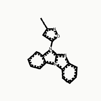 Cc1cc(-n2c3ccccc3n3c4ccccc4nc23)on1